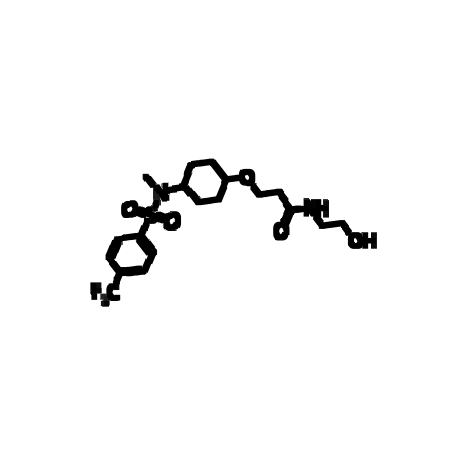 CN(C1CCC(OCCC(=O)NCCO)CC1)S(=O)(=O)c1ccc(C(F)(F)F)cc1